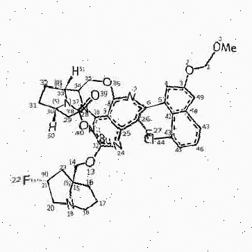 COCOc1cc(-c2nc3c4c(nc(OC[C@@]56CCCN5C[C@H](F)C6)nc4c2F)N2C[C@@H]4CC[C@H](C2CO3)N4C(=O)OC(C)(C)C)c2c(Cl)cccc2c1